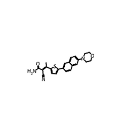 C/C(=C(/C#N)C(N)=O)c1ccc(-c2ccc3cc(N4CCOCC4)ccc3c2)s1